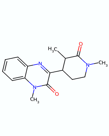 CC1C(=O)N(C)CCC1c1nc2ccccc2n(C)c1=O